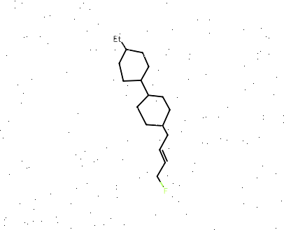 CCC1CCC(C2CCC(C/C=C/CF)CC2)CC1